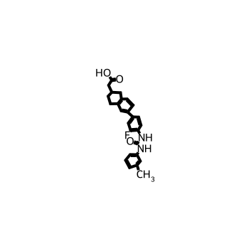 Cc1cccc(NC(=O)Nc2ccc(-c3ccc4c(c3)CCC(CC(=O)O)C4)cc2F)c1